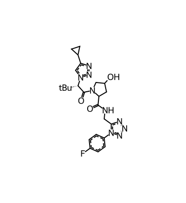 CC(C)(C)[C@@H](C(=O)N1CC(O)CC1C(=O)NCc1nnnn1-c1ccc(F)cc1)n1cc(C2CC2)nn1